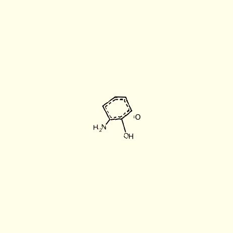 Nc1ccccc1O.[O]